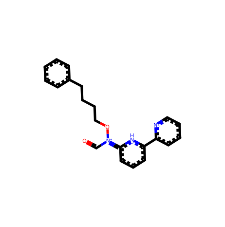 O=C[N+](OCCCCc1ccccc1)=c1cccc(-c2ccccn2)[nH]1